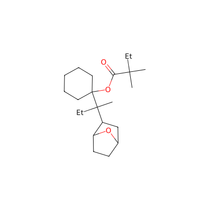 CCC(C)(C)C(=O)OC1(C(C)(CC)C2CC3CCC2O3)CCCCC1